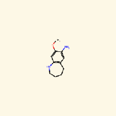 COc1cc2c(cc1N)CCCCN2